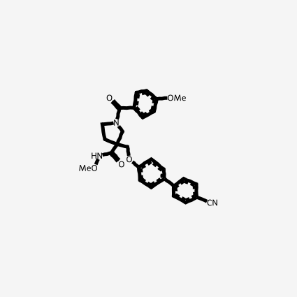 CONC(=O)C1(COc2ccc(-c3ccc(C#N)cc3)cc2)CCN(C(=O)c2ccc(OC)cc2)C1